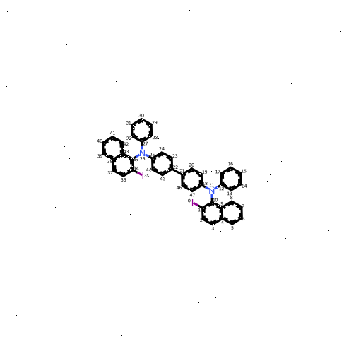 Ic1ccc2ccccc2c1N(c1ccccc1)c1ccc(-c2ccc(N(c3ccccc3)c3c(I)ccc4ccccc34)cc2)cc1